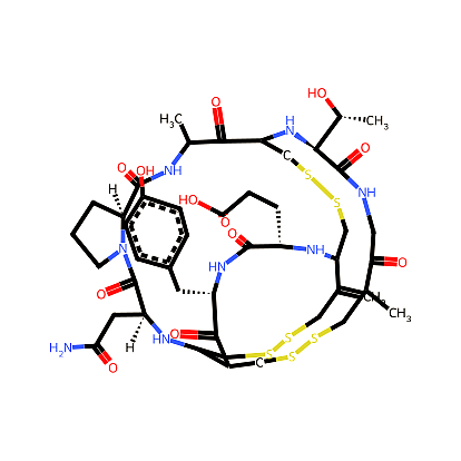 C=C1CSSCC2N[C@@H](CC(N)=O)C(=O)N3CCC[C@H]3C(=O)NC(C)C(=O)C3CSSCC1N[C@@H](CCC(=O)O)C(=O)N[C@@H](Cc1ccc(O)cc1)C(=O)C2CSSCC(C)C(=O)CNC(=O)[C@H]([C@@H](C)O)N3